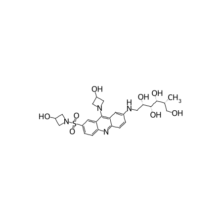 C[C@H](CO)[C@@H](O)[C@H](O)[C@@H](O)CNc1ccc2nc3ccc(S(=O)(=O)N4CC(O)C4)cc3c(N3CC(O)C3)c2c1